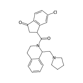 O=C1CC(C(=O)N2CCc3ccccc3C2CN2CCCC2)c2cc(Cl)ccc21